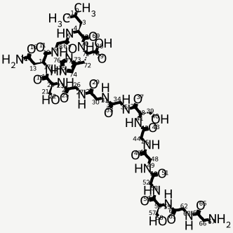 CC(C)C[C@H](NC(=O)CNC(=O)[C@H](CC(N)=O)NC(=O)[C@H](CO)NC(=O)CNC(=O)CNC(=O)CNC(=O)[C@H](CO)NC(=O)CNC(=O)CNC(=O)CNC(=O)[C@H](CO)NC(=O)CNC(=O)CN)C(=O)N[C@@H](Cc1c[nH]cn1)C(=O)O